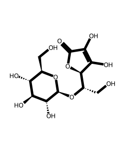 O=C1O[C@H]([C@H](CO)O[C@@H]2O[C@H](CO)[C@@H](O)[C@H](O)[C@H]2O)C(O)=C1O